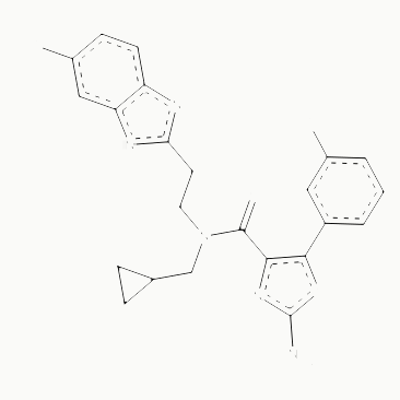 Cc1cccc(-c2sc(N)nc2C(=O)N(CCc2nc3ccc(C)cc3[nH]2)CC2CC2)c1